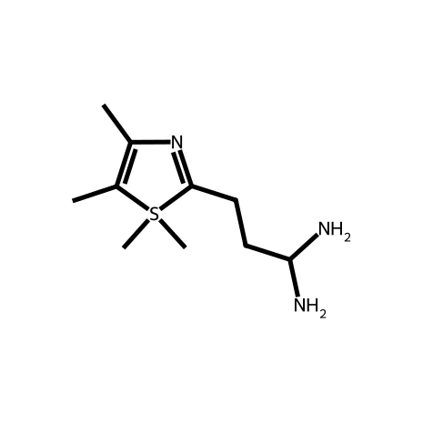 CC1=C(C)S(C)(C)C(CCC(N)N)=N1